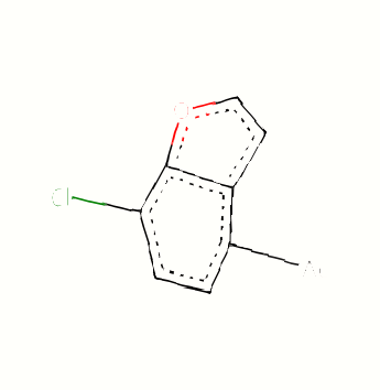 CC(=O)c1ccc(Cl)c2occc12